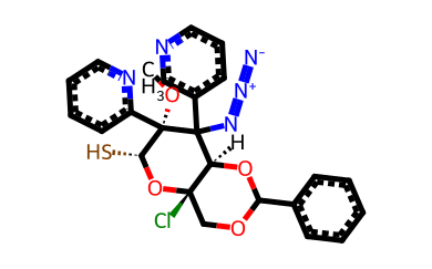 CO[C@@]1(c2ccccn2)[C@@H](S)O[C@@]2(Cl)COC(c3ccccc3)O[C@@H]2C1(N=[N+]=[N-])c1cccnc1